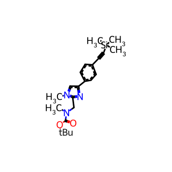 CN(Cc1nc(-c2ccc(C#C[Si](C)(C)C)cc2)cn1C)C(=O)OC(C)(C)C